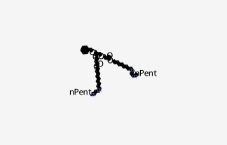 CCCCC/C=C\C/C=C\CCCCCCCCOC(=O)CCOCC(COCc1ccccc1)OCCC(=O)OCCCCCCCC/C=C\C/C=C\CCCCC